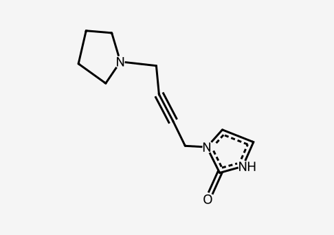 O=c1[nH]ccn1CC#CCN1CCCC1